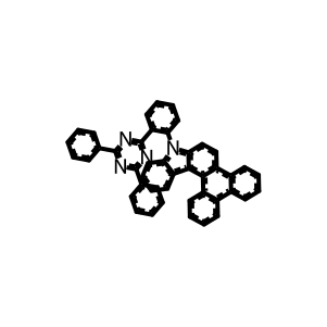 c1ccc(-c2nc(-c3ccccc3)nc(-c3ccccc3-n3c4ccccc4c4c5c6ccccc6c6ccccc6c5ccc43)n2)cc1